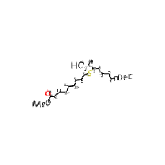 CCCCCCCCCCCCCCC(SCCCCCCCCC(=O)OC)C(=O)O